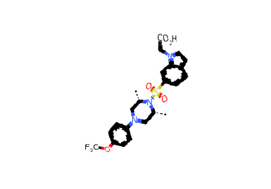 C[C@@H]1CN(c2ccc(OC(F)(F)F)cc2)C[C@H](C)N1S(=O)(=O)c1ccc2ccn(CC(=O)O)c2c1